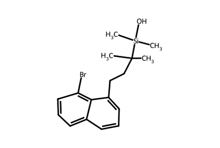 CC(C)(CCc1cccc2cccc(Br)c12)[Si](C)(C)O